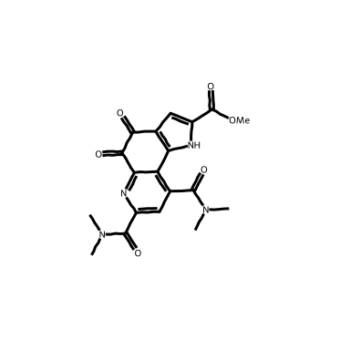 COC(=O)c1cc2c([nH]1)-c1c(C(=O)N(C)C)cc(C(=O)N(C)C)nc1C(=O)C2=O